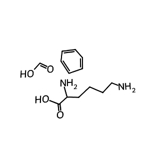 NCCCCC(N)C(=O)O.O=CO.c1ccccc1